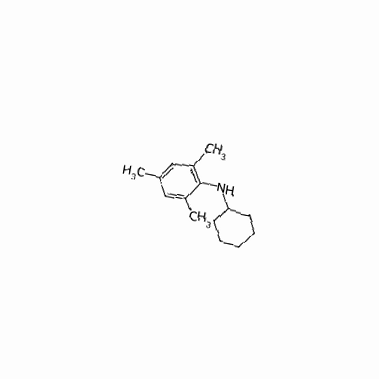 Cc1cc(C)c(NC2CCCCC2)c(C)c1